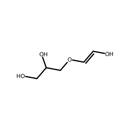 OC=COCC(O)CO